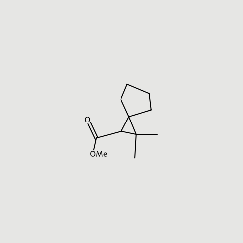 COC(=O)C1C(C)(C)C12CCCC2